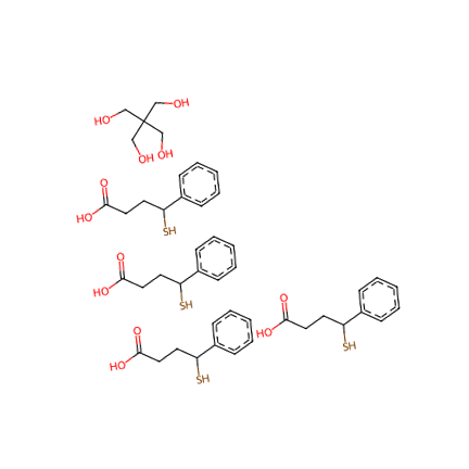 O=C(O)CCC(S)c1ccccc1.O=C(O)CCC(S)c1ccccc1.O=C(O)CCC(S)c1ccccc1.O=C(O)CCC(S)c1ccccc1.OCC(CO)(CO)CO